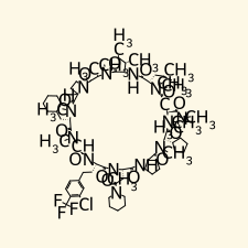 CC[C@H](C)[C@@H]1NC(=O)[C@H](CC(C)C)N(C)C(=O)C[C@@H](C(=O)N(C)C)N(C)C(=O)[C@H](C2CCCC2)N(C)C(=O)C2(CCCC2)NC(=O)[C@H](CC(=O)N2CCCCC2)N(C)C(=O)[C@H](CCc2ccc(C(F)(F)F)c(Cl)c2)NC(=O)CN(C)C(=O)[C@H](CC2CCCCC2)N(C)C(=O)[C@@H]2CCN2C(=O)[C@H](C)N(C)C1=O